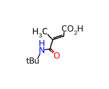 C/C(=C\C(=O)O)C(=O)NC(C)(C)C